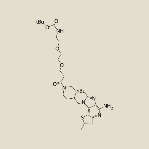 CCCCc1nc2c(N)nc3cc(C)sc3c2n1CC1CCN(C(=O)CCOCCOCCNC(=O)OC(C)(C)C)CC1